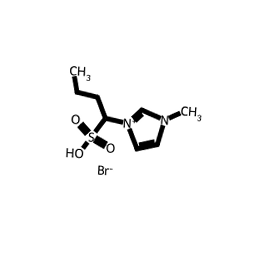 CCCC([n+]1ccn(C)c1)S(=O)(=O)O.[Br-]